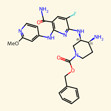 COc1cc(Nc2nc(N[C@@H]3CN(C(=O)OCc4ccccc4)CC[C@@H]3N)c(F)cc2C(N)=O)ccn1